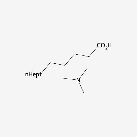 CCCCCCCCCCCC(=O)O.CN(C)C